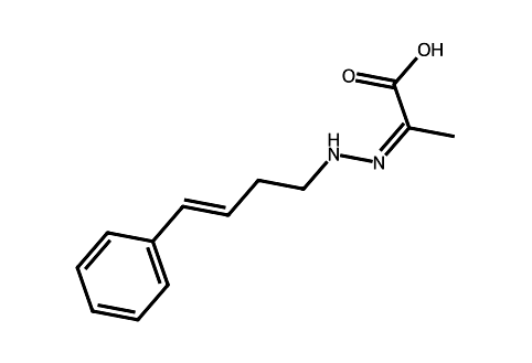 C/C(=N/NCC/C=C/c1ccccc1)C(=O)O